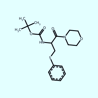 CC(C)(C)OC(=O)NC(CSc1ccccc1)C(=O)N1CCOCC1